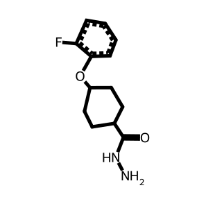 NNC(=O)C1CCC(Oc2ccccc2F)CC1